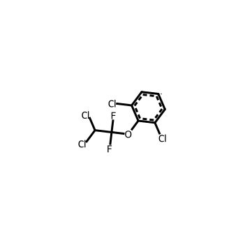 FC(F)(Oc1c(Cl)c[c]cc1Cl)C(Cl)Cl